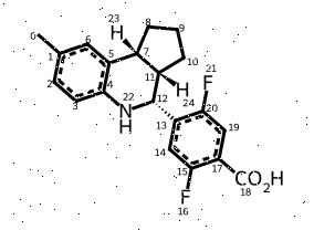 Cc1ccc2c(c1)[C@@H]1CCC[C@@H]1[C@H](c1cc(F)c(C(=O)O)cc1F)N2